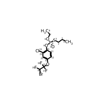 CCCSP(=O)(OCC)Oc1ccc(OC(F)(F)C(F)Br)cc1Cl